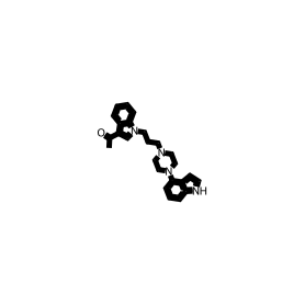 CC(=O)c1cn(CCCN2CCN(c3cccc4[nH]ccc34)CC2)c2ccccc12